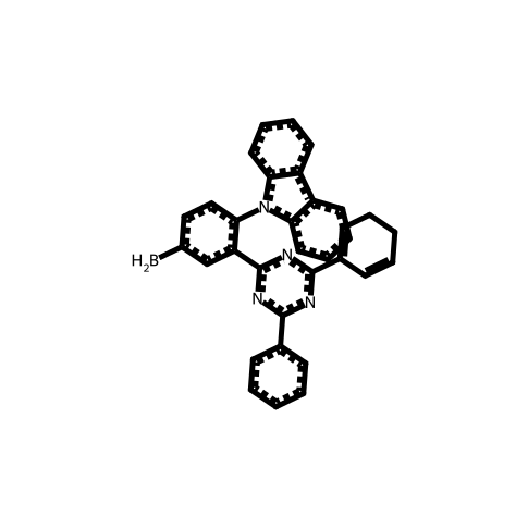 Bc1ccc(-n2c3ccccc3c3ccccc32)c(-c2nc(C3=CCCC=C3)nc(-c3ccccc3)n2)c1